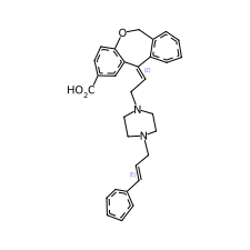 O=C(O)c1ccc2c(c1)/C(=C\CN1CCN(C/C=C/c3ccccc3)CC1)c1ccccc1CO2